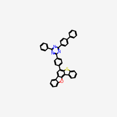 c1ccc(-c2ccc(-c3nc(-c4ccccc4)nc(-c4ccc(-c5cc6c7ccccc7oc6c6c5sc5ccccc56)cc4)n3)cc2)cc1